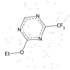 CCOc1ncnc(C(F)(F)F)n1